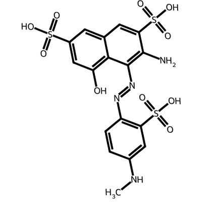 CNc1ccc(N=Nc2c(N)c(S(=O)(=O)O)cc3cc(S(=O)(=O)O)cc(O)c23)c(S(=O)(=O)O)c1